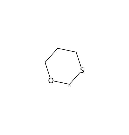 [C]1OCCCS1